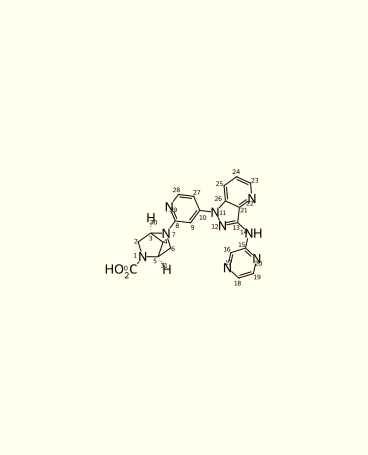 O=C(O)N1C[C@@H]2C[C@H]1CN2c1cc(-n2nc(Nc3cnccn3)c3ncccc32)ccn1